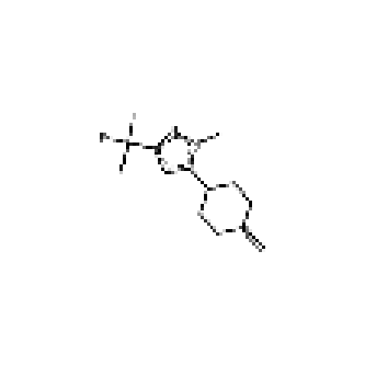 Cn1nc(C(F)(F)F)cc1C1CCC(=O)CC1